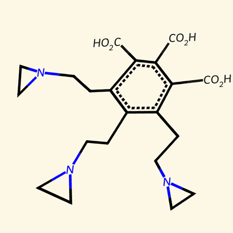 O=C(O)c1c(CCN2CC2)c(CCN2CC2)c(CCN2CC2)c(C(=O)O)c1C(=O)O